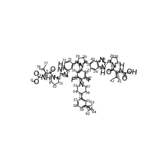 COC(=O)N[C@H](C(=O)N1CCC[C@H]1c1nc2cc([C@H]3CC[C@H](c4ccc5[nH]c([C@@H]6CCCN6C(=O)[C@@H](NC(=O)O)C(C)C)nc5c4)N3c3cc(F)c(N4CCC(c5cccc([Si](C)(C)C)c5)CC4)c(F)c3)ccc2[nH]1)C(C)C